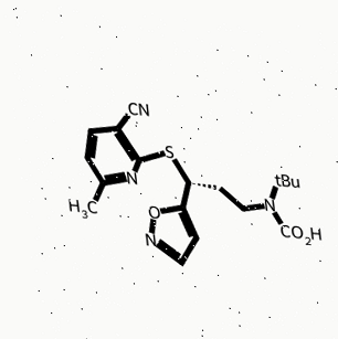 Cc1ccc(C#N)c(S[C@H](CCN(C(=O)O)C(C)(C)C)c2ccno2)n1